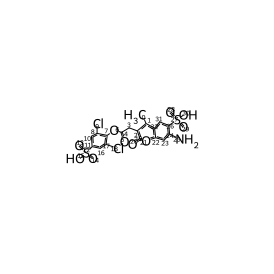 Cc1c(CC(=O)Oc2c(Cl)cc(S(=O)(=O)O)cc2Cl)c(=O)oc2cc(N)c(S(=O)(=O)O)cc12